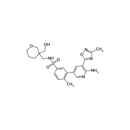 Cc1noc(-c2cc(-c3cc(S(=O)(=O)NCC4(CO)CCCOC4)ccc3C)cnc2N)n1